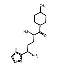 CC1CCN(C(=O)C(N)CCC(N)c2ncc[nH]2)CC1